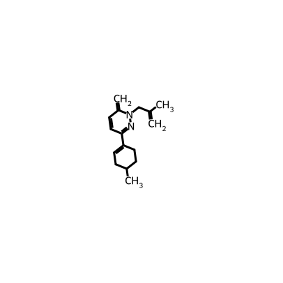 C=C(C)CN1N=C(C2=CCC(C)CC2)C=CC1=C